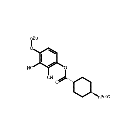 CCCCC[C@H]1CC[C@H](C(=O)Oc2ccc(OCCCC)c(C#N)c2C#N)CC1